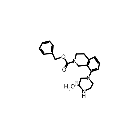 C[C@@H]1CN(c2cccc3c2CN(C(=O)OCc2ccccc2)CC3)CCN1